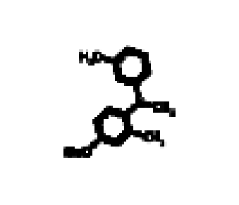 COc1ccc(N(C)c2cccc(C)c2)c(C)c1